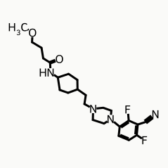 COCCCC(=O)NC1CCC(CCN2CCN(c3ccc(F)c(C#N)c3F)CC2)CC1